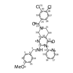 COc1ccc(CNc2nc3c(c(=O)n2-c2ccccn2)CCN(C(=O)c2ccc(Cl)c(Cl)c2)C3)cc1